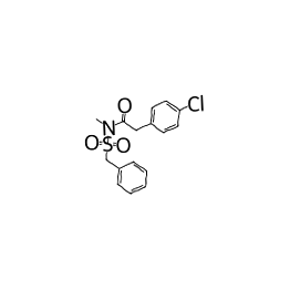 CN(C(=O)Cc1ccc(Cl)cc1)S(=O)(=O)Cc1ccccc1